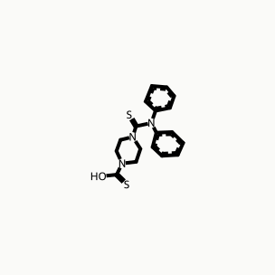 OC(=S)N1CCN(C(=S)N(c2ccccc2)c2ccccc2)CC1